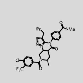 CNC(=O)c1ccc(N2C(=O)C3C[C@@H](C)N(C(=O)c4ccc(Cl)c(C(F)(F)F)c4)CC3n3ncc(CC(C)C)c32)cc1